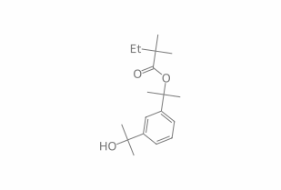 CCC(C)(C)C(=O)OC(C)(C)c1cccc(C(C)(C)O)c1